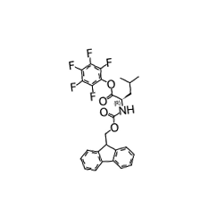 CC(C)C[C@@H](NC(=O)OCC1c2ccccc2-c2ccccc21)C(=O)Oc1c(F)c(F)c(F)c(F)c1F